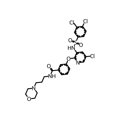 O=C(NCCCN1CCOCC1)c1cccc(Oc2ncc(Cl)cc2NS(=O)(=O)c2ccc(Cl)c(Cl)c2)c1